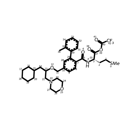 CSCC[C@H](NC(=O)c1ccc(COC(CC2CCCCC2)CN2CCOCC2)cc1-c1ccccc1C)C(=O)OC(=O)C(F)(F)F